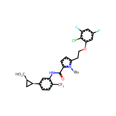 CC[C@H](C)n1c(CCOc2cc(F)cc(F)c2Cl)ccc1C(=O)Nc1cc([C@H]2C[C@H]2C(=O)O)ccc1C(F)(F)F